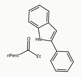 CCCCCC(=O)CC.c1ccc(-c2cc3ccccc3[nH]2)cc1